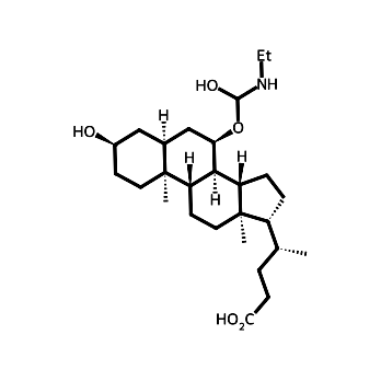 CCNC(O)O[C@@H]1C[C@@H]2C[C@H](O)CC[C@]2(C)[C@H]2CC[C@]3(C)[C@@H]([C@H](C)CCC(=O)O)CC[C@H]3[C@H]12